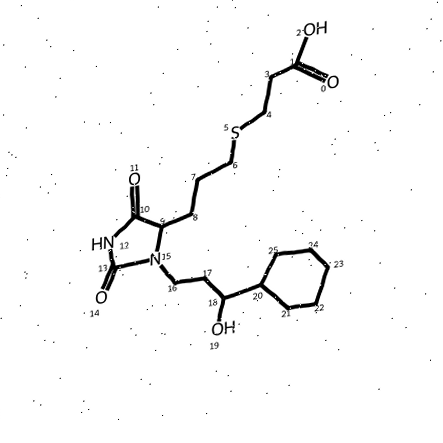 O=C(O)CCSCCCC1C(=O)NC(=O)N1CCC(O)C1CCCCC1